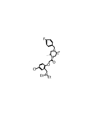 CCN(CC)Cc1cc(Cl)ccc1OCC(=O)N1C[C@H](C)N(Cc2ccc(F)cc2)C[C@H]1C